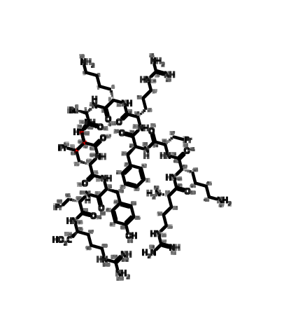 CC[C@H](C)[C@H](NC(=O)[C@H](CCCCN)NC(=O)[C@H](CCCNC(=N)N)NC(=O)[C@H](Cc1ccccc1)NC(=O)[C@H](CC(C)C)NC(=O)[C@H](CCCCN)NC(=O)[C@@H](N)CCCNC(=N)N)C(=O)N[C@@H](CC(C)C)C(=O)N[C@@H](CCCCN)C(=O)N[C@@H](Cc1ccc(O)cc1)C(=O)N[C@@H](CC(C)C)C(=O)N[C@@H](CCCNC(=N)N)C(=O)O